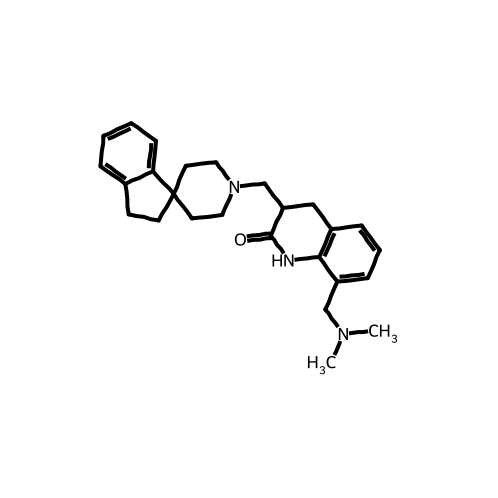 CN(C)Cc1cccc2c1NC(=O)C(CN1CCC3(CCc4ccccc43)CC1)C2